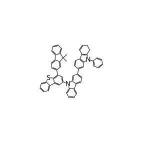 CC1(C)c2ccccc2-c2ccc(-c3cc(-n4c5ccccc5c5ccc(-c6ccc7c8c(n(-c9ccccc9)c7c6)CCC=C8)cc54)cc4c3sc3ccccc34)cc21